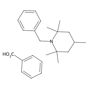 CC1CC(C)(C)N(Cc2ccccc2)C(C)(C)C1.O=C(O)c1ccccc1